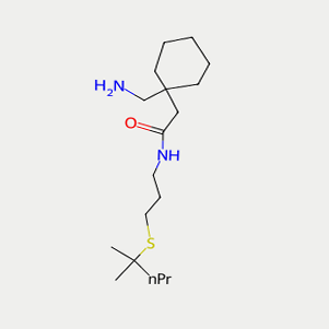 CCCC(C)(C)SCCCNC(=O)CC1(CN)CCCCC1